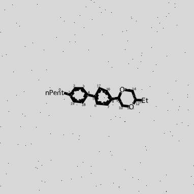 CCCCCc1ccc(-c2ccc(C3COC(CC)CO3)cc2)cc1